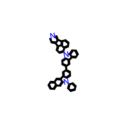 c1ccc(-n2c3ccc(-c4ccc5c(c4)c4ccccc4n5-c4ccc5c6c(cccc46)-c4cnccc4-5)cc3c3cc4ccccc4cc32)cc1